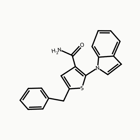 NC(=O)c1cc(Cc2ccccc2)sc1-n1ccc2ccccc21